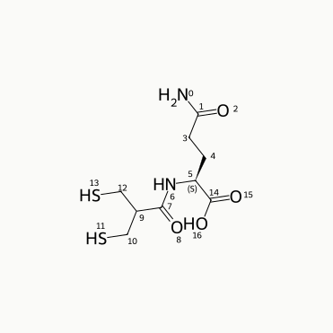 NC(=O)CC[C@H](NC(=O)C(CS)CS)C(=O)O